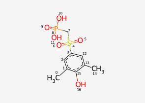 Cc1cc(S(=O)(=O)CP(=O)(O)O)cc(C)c1O